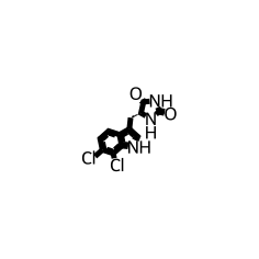 O=C1NC(=O)[C@@H](Cc2c[nH]c3c(Cl)c(Cl)ccc23)N1